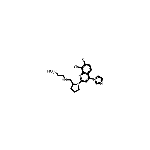 O=C(O)CCNCC1CCCN1c1cc(-n2ccnc2)c2ccc(Cl)c(Cl)c2n1